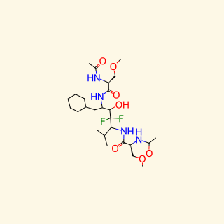 COC[C@H](NC(C)=O)C(=O)NC(CC1CCCCC1)C(O)C(F)(F)C(NC(=O)[C@H](COC)NC(C)=O)C(C)C